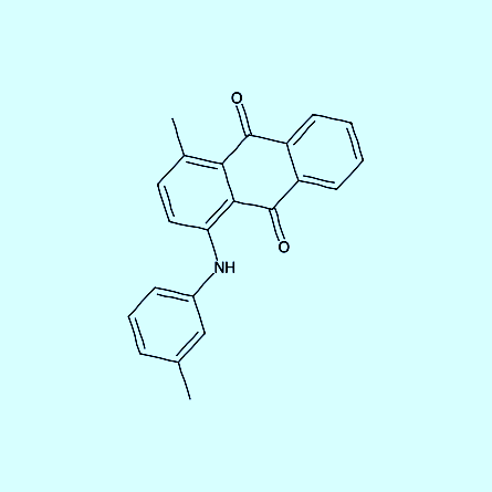 Cc1cccc(Nc2ccc(C)c3c2C(=O)c2ccccc2C3=O)c1